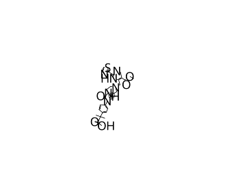 COC(=O)C1=C(CN2CCN3C(=O)N(c4ccc(C(C)(C)C(=O)O)cc4)C[C@@H]3C2)NC(c2nccs2)=NC1